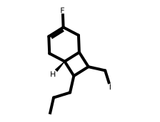 CCCC1C(CI)C2CC(F)=CC[C@@H]12